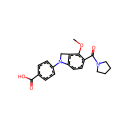 COc1c(C(=O)N2CCCC2)ccc2c1CN2c1ccc(C(=O)O)cc1